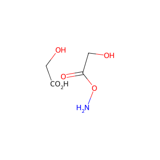 NOC(=O)CO.O=C(O)CO